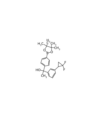 CC(O)(c1ccc(B2OC(C)(C)C(C)(C)O2)cc1)c1cccc(C2CC2(F)F)c1